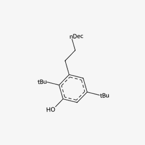 CCCCCCCCCCCCc1cc(C(C)(C)C)cc(O)c1C(C)(C)C